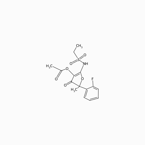 CCS(=O)(=O)NC1=C(OC(C)=O)C(=O)C(C)(c2ccccc2F)O1